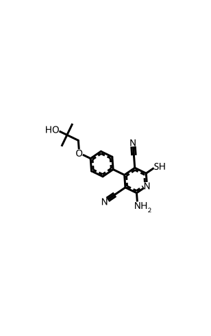 CC(C)(O)COc1ccc(-c2c(C#N)c(N)nc(S)c2C#N)cc1